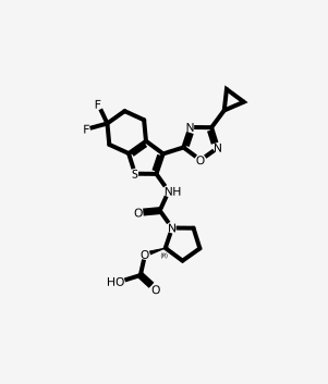 O=C(O)O[C@@H]1CCCN1C(=O)Nc1sc2c(c1-c1nc(C3CC3)no1)CCC(F)(F)C2